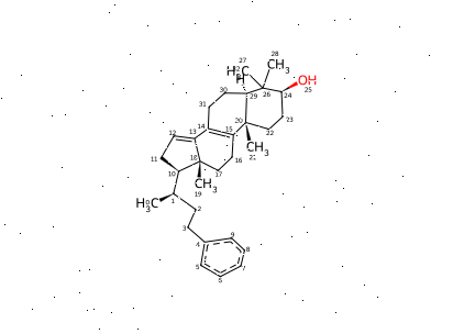 C[C@H](CCc1ccccc1)[C@H]1CC=C2C3=C(CC[C@@]21C)[C@@]1(C)CC[C@H](O)C(C)(C)[C@@H]1CC3